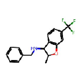 CC1Oc2cc(C(F)(F)F)ccc2C1NCc1ccccc1